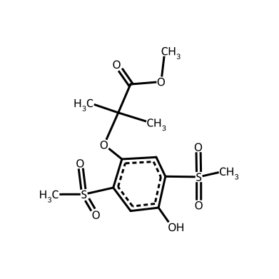 COC(=O)C(C)(C)Oc1cc(S(C)(=O)=O)c(O)cc1S(C)(=O)=O